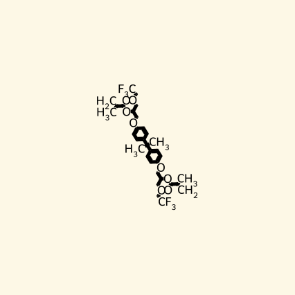 C=C(C)C(=O)OC(COCC(F)(F)F)COc1ccc(C(C)(C)c2ccc(OCC(COCC(F)(F)F)OC(=O)C(=C)C)cc2)cc1